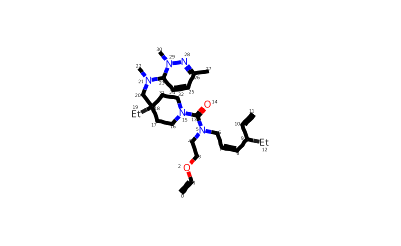 C=COCCN(C/C=C\C(C=C)CC)C(=O)N1CCC(CC)(CN(C)C2C=CC(C)=NN2C)CC1